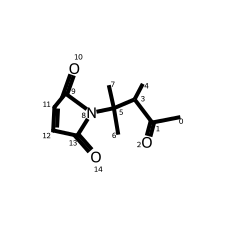 CC(=O)C(C)C(C)(C)N1C(=O)C=CC1=O